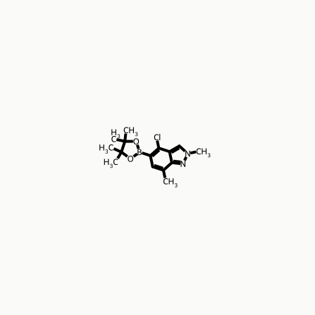 Cc1cc(B2OC(C)(C)C(C)(C)O2)c(Cl)c2cn(C)nc12